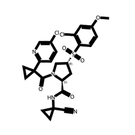 COc1ccc(S(=O)(=O)[C@@H]2C[C@@H](C(=O)NC3(C#N)CC3)N(C(=O)C3(c4ccc(Cl)cn4)CC3)C2)c(Cl)c1